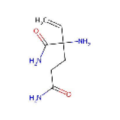 C=CC(N)(CCC(N)=O)C(N)=O